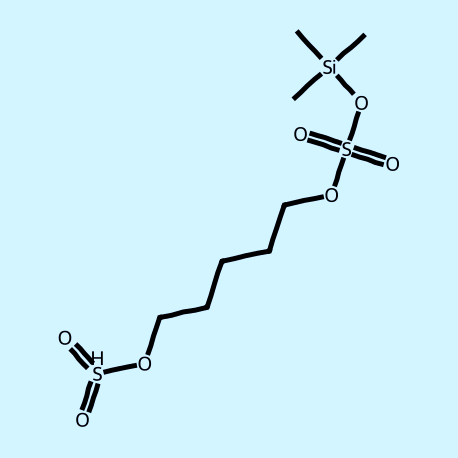 C[Si](C)(C)OS(=O)(=O)OCCCCCO[SH](=O)=O